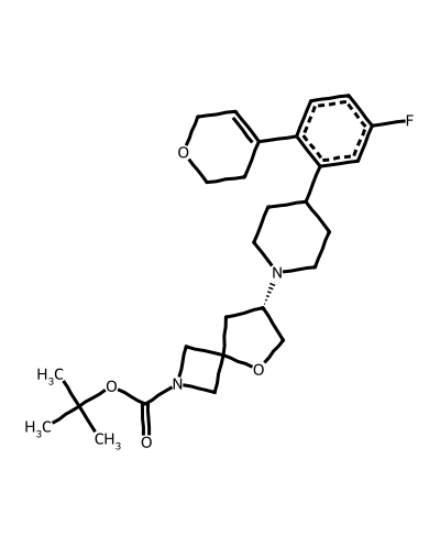 CC(C)(C)OC(=O)N1CC2(C[C@H](N3CCC(c4cc(F)ccc4C4=CCOCC4)CC3)CO2)C1